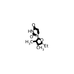 CC[C@H]1O[C@@H](n2ccc(=O)[nH]c2=O)C(C)[C@H]1C